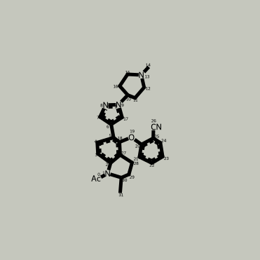 CC(=O)N1c2ccc(-c3cnn(C4CCN(C)CC4)c3)c(Oc3ccccc3C#N)c2CCC1C